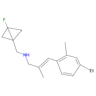 CCc1ccc(/C=C(\C)CNCC23CC2(F)C3)c(C)c1